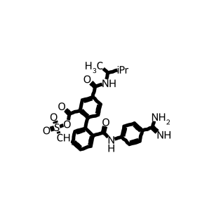 CC(C)C(C)NC(=O)c1ccc(-c2ccccc2C(=O)Nc2ccc(C(=N)N)cc2)c(C(=O)OS(C)(=O)=O)c1